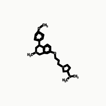 COc1ccc(C2CN(C)Cc3cc(OCCCN4CCC(N(C)C)C4)ccc32)cc1